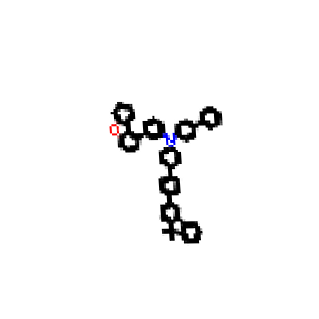 CC1(C)c2ccccc2-c2cc(-c3ccc(-c4ccc(N(c5ccc(-c6ccccc6)cc5)c5cccc(-c6cccc7oc8ccccc8c67)c5)cc4)cc3)ccc21